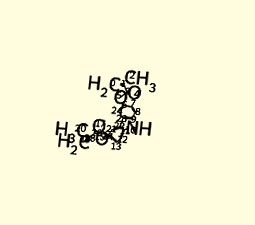 C=C(C)C(=O)Oc1ccc2[nH]c3ccc(OC(=O)C(=C)C)cc3c2c1